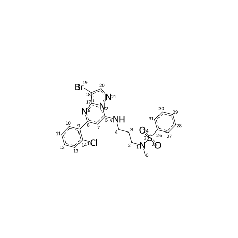 CN(CCCNc1cc(-c2ccccc2Cl)nc2c(Br)cnn12)S(=O)(=O)c1ccccc1